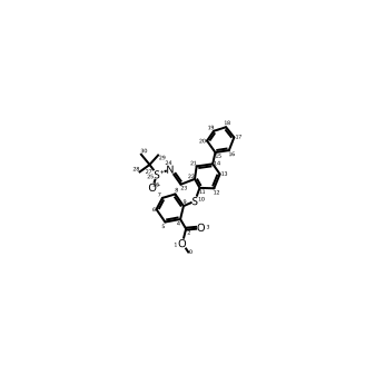 COC(=O)c1ccccc1Sc1ccc(-c2ccccc2)cc1C=N[S+]([O-])C(C)(C)C